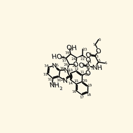 CCOC(=O)C(C)NP(=O)(Oc1cccc2ccccc12)OC(C)[C@H]1O[C@@H](n2cnc3c(N)ccnc32)C(O)C1O